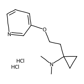 CN(C)C1(CCOc2cccnc2)CC1.Cl.Cl